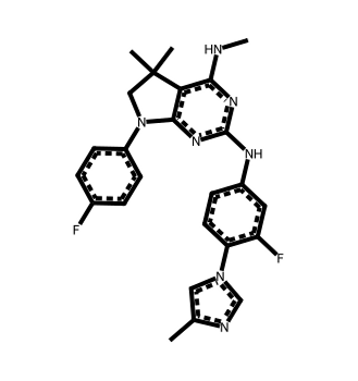 CNc1nc(Nc2ccc(-n3cnc(C)c3)c(F)c2)nc2c1C(C)(C)CN2c1ccc(F)cc1